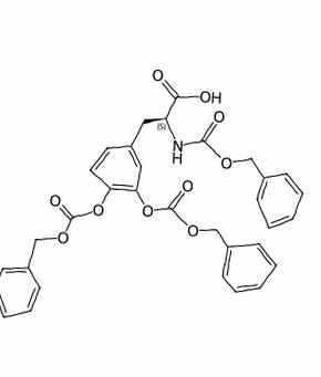 O=C(N[C@@H](Cc1ccc(OC(=O)OCc2ccccc2)c(OC(=O)OCc2ccccc2)c1)C(=O)O)OCc1ccccc1